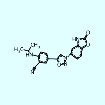 CC(C)Nc1ccc(-c2c[n+](-c3ccc4oc(=O)[nH]c4c3)no2)cc1C#N